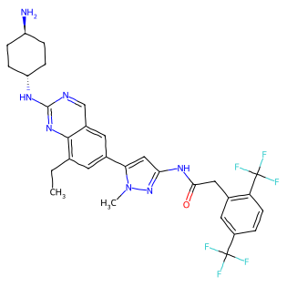 CCc1cc(-c2cc(NC(=O)Cc3cc(C(F)(F)F)ccc3C(F)(F)F)nn2C)cc2cnc(N[C@H]3CC[C@H](N)CC3)nc12